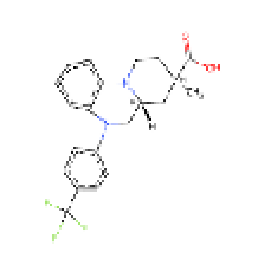 C[C@@]1(C(=O)O)CCN2c3ccccc3N(c3ccc(C(F)(F)F)cc3)C[C@H]2C1